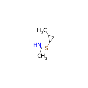 CC(=N)SC1CC1C